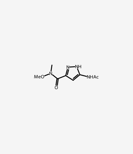 CON(C)C(=O)c1cc(NC(C)=O)[nH]n1